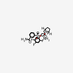 NC(=O)c1cccc(S(=O)(=O)CCC(=O)N2[C@@H]3CC[C@H]2C[C@H]([C@H](N)Cc2cc(F)c(F)cc2F)C3)c1